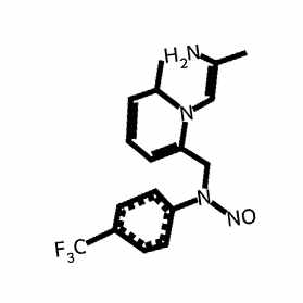 C/C(N)=C/N1C(CN(N=O)c2ccc(C(F)(F)F)cc2)=CC=CC1C